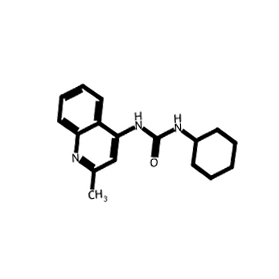 Cc1cc(NC(=O)NC2CCCCC2)c2ccccc2n1